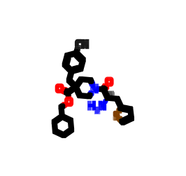 N#Cc1ccc(CC2(C(=O)OCC3CCCCC3)CCN(C(=O)[C@@H](N)Cc3cccs3)CC2)cc1